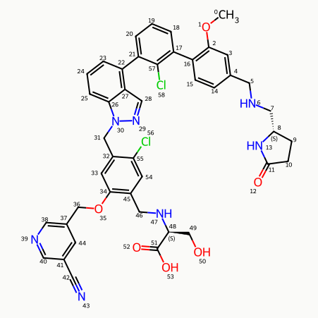 COc1cc(CNC[C@@H]2CCC(=O)N2)ccc1-c1cccc(-c2cccc3c2cnn3Cc2cc(OCc3cncc(C#N)c3)c(CN[C@@H](CO)C(=O)O)cc2Cl)c1Cl